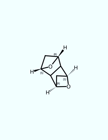 C1[C@@H]2O[C@H]1C1C2[C@H]2C[C@@H]1O2